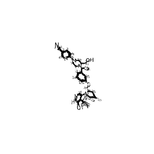 N#Cc1ccc(N2CCN(C(=O)c3cccc(OC[C@@H]4CCCN4c4cn[nH]c(=O)c4C(F)(F)F)c3)C(CO)C2)nc1